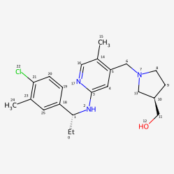 CC[C@@H](Nc1cc(CN2CC[C@@H](CO)C2)c(C)cn1)c1ccc(Cl)c(C)c1